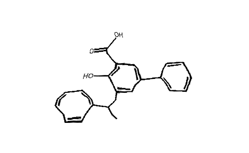 CC(c1ccccc1)c1cc(-c2ccccc2)cc(C(=O)O)c1O